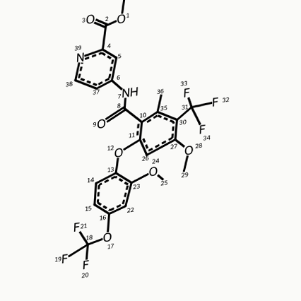 COC(=O)c1cc(NC(=O)c2c(Oc3ccc(OC(F)(F)F)cc3OC)cc(OC)c(C(F)(F)F)c2C)ccn1